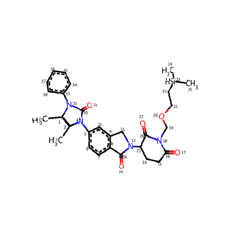 CC1C(C)N(c2ccc3c(c2)CN(C2CCC(=O)N(COCC[SiH](C)C)C2=O)C3=O)C(=O)N1c1ccccc1